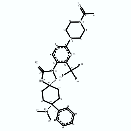 CC(=O)N1CCN(c2ncc(N3C[C@]4(CC[C@@](c5ccccc5)(N(C)C)CC4)NC3=O)c(C(F)(F)F)n2)CC1